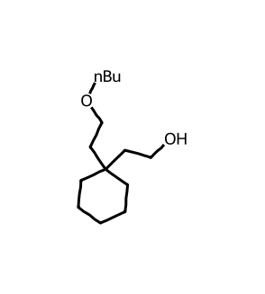 CCCCOCCC1(CCO)CCCCC1